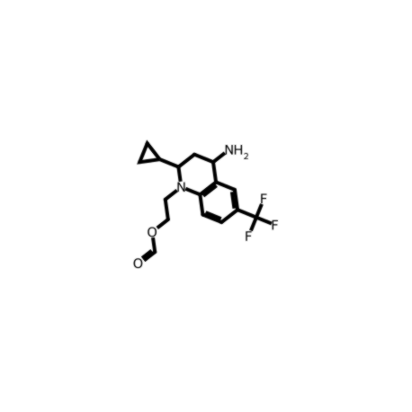 NC1CC(C2CC2)N(CCOC=O)c2ccc(C(F)(F)F)cc21